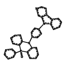 O=P1(c2ccccc2)c2ccccc2N(c2ccc(-n3c4ccccc4c4ccncc43)cc2)c2ccccc21